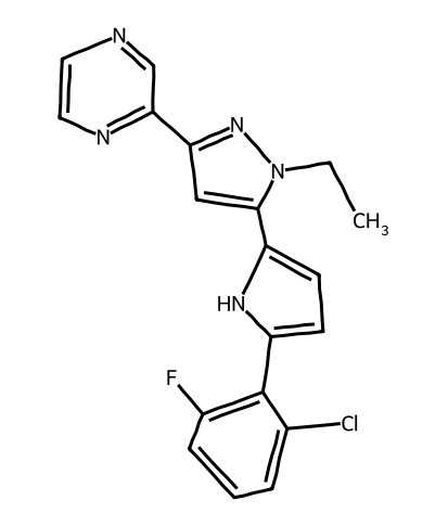 CCn1nc(-c2cnccn2)cc1-c1ccc(-c2c(F)cccc2Cl)[nH]1